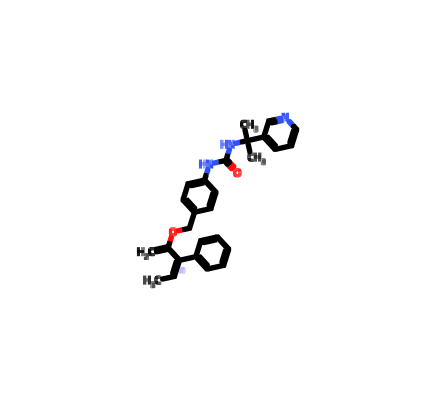 C=C(OCc1ccc(NC(=O)NC(C)(C)c2cccnc2)cc1)/C(=C\C)c1ccccc1